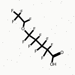 O=C(O)C(F)(F)C(F)(F)C(F)(F)C(F)(F)OC(F)C(F)(F)F